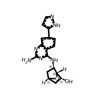 Nc1nc(N[C@@H]2C[C@H]3C[C@H](O)[C@@H]2O3)c2ccc(-c3ccn[nH]3)cc2n1